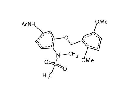 COc1ccc(OC)c(COc2cc(NC(C)=O)ccc2N(C)S(C)(=O)=O)c1